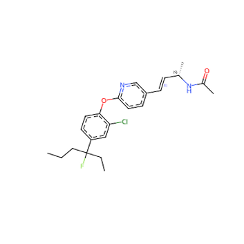 CCCC(F)(CC)c1ccc(Oc2ccc(/C=C/[C@H](C)NC(C)=O)cn2)c(Cl)c1